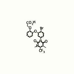 Cc1c(C(F)(F)F)n(C)c(=O)n(-c2ccc(Br)c(Oc3ccccc3OCC(=O)O)c2)c1=O